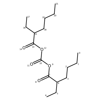 CCCCC(CC)C(=O)OC(=O)OC(=O)C(CC)CCCC